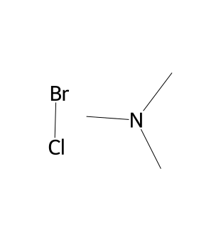 CN(C)C.ClBr